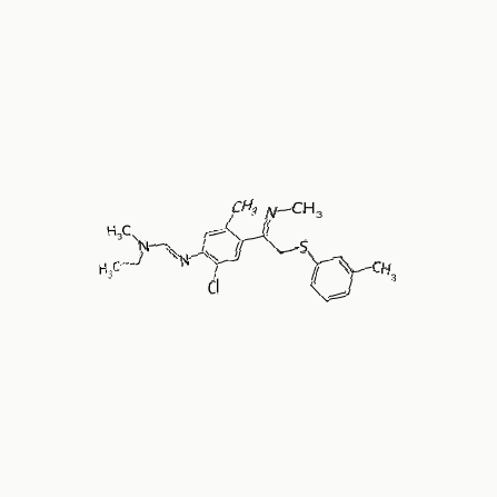 CCN(C)C=Nc1cc(C)c(C(CSc2cccc(C)c2)=NC)cc1Cl